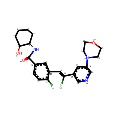 O=C(N[C@H]1CCCC[C@@H]1O)c1ccc(F)c(/C=C(\F)c2cncc(N3CCOCC3)c2)c1